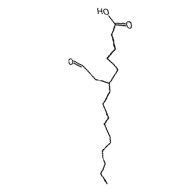 CCCCCCCCCC(CC=O)CCCCC(=O)O